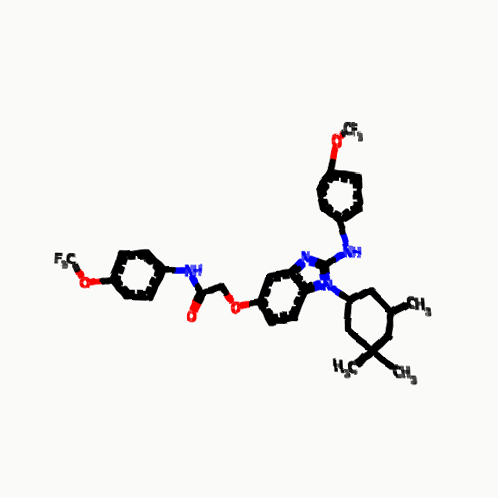 CC1CC(n2c(Nc3ccc(OC(F)(F)F)cc3)nc3cc(OCC(=O)Nc4ccc(OC(F)(F)F)cc4)ccc32)CC(C)(C)C1